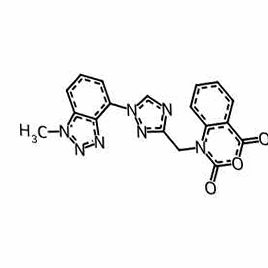 Cn1nnc2c(-n3cnc(Cn4c(=O)oc(=O)c5ccccc54)n3)cccc21